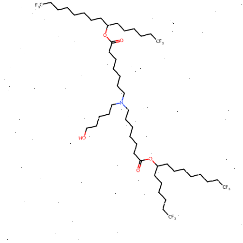 O=C(CCCCCCN(CCCCCO)CCCCCCC(=O)OC(CCCCCCCC(F)(F)F)CCCCCC(F)(F)F)OC(CCCCCCCC(F)(F)F)CCCCCC(F)(F)F